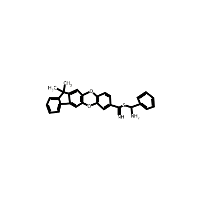 CC1(C)c2ccccc2-c2cc3c(cc21)Oc1ccc(C(=N)SC(N)c2ccccc2)cc1O3